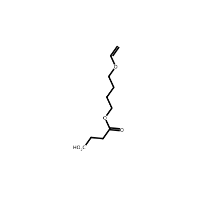 C=COCCCCOC(=O)CCC(=O)O